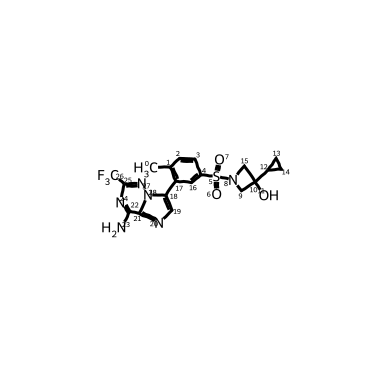 Cc1ccc(S(=O)(=O)N2CC(O)(C3CC3)C2)cc1-c1cnc2c(N)nc(C(F)(F)F)nn12